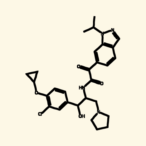 CC(C)n1ncc2ccc(C(=O)C(=O)NC(CN3CCCC3)C(O)c3ccc(OC4CC4)c(Cl)c3)cc21